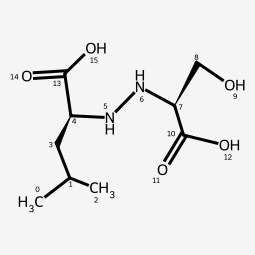 CC(C)C[C@H](NN[C@@H](CO)C(=O)O)C(=O)O